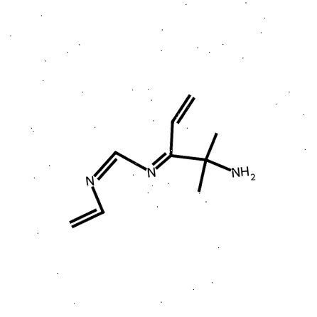 C=C/N=C\N=C(/C=C)C(C)(C)N